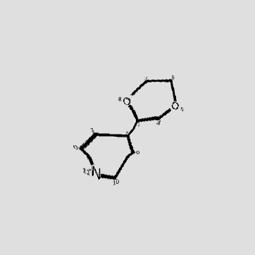 C1CC(C2COCCO2)CC[N]1